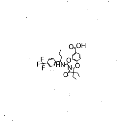 CCCC(NC(=O)N1C(=O)C(CC)(CC)C1Oc1ccc(C(=O)O)cc1)c1ccc(C(F)(F)F)cc1